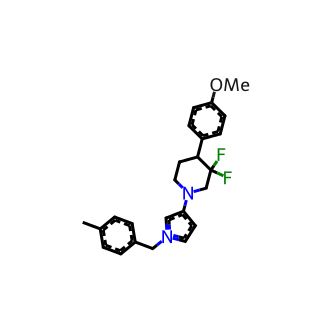 COc1ccc(C2CCN(c3ccn(Cc4ccc(C)cc4)c3)CC2(F)F)cc1